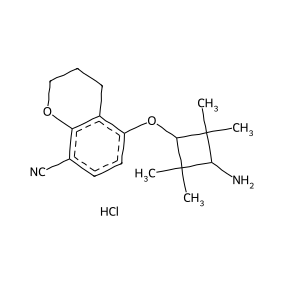 CC1(C)C(N)C(C)(C)C1Oc1ccc(C#N)c2c1CCCO2.Cl